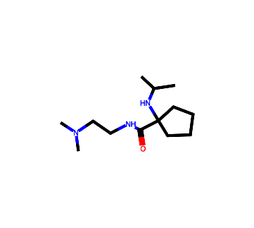 CC(C)NC1(C(=O)NCCN(C)C)CCCC1